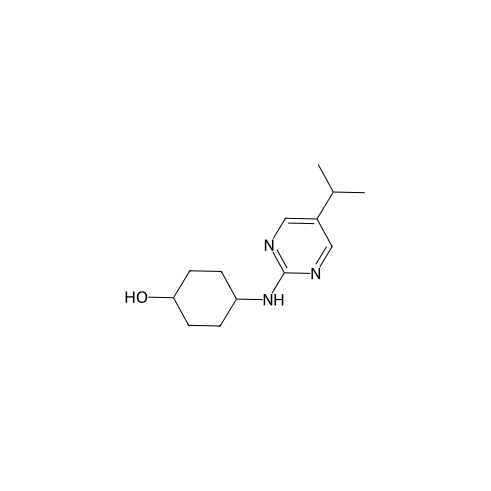 CC(C)c1cnc(NC2CCC(O)CC2)nc1